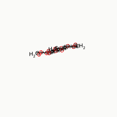 C=CC(=O)OCCCCOC(=O)Oc1ccc(C(=O)Oc2ccc(OC(=O)c3ccc(OCCCCOC(=O)C=C)cc3)cc2C)cc1